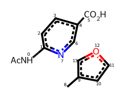 CC(=O)Nc1ccc(C(=O)O)cn1.Cc1ccoc1